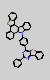 c1ccc(-c2nc(-c3ccc(-n4c5ccccc5c5c6c7ccccc7sc6c6ccccc6c54)cc3)c3sc4ccccc4c3n2)cc1